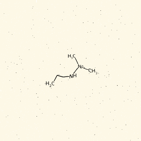 [CH2]CN[N+](C)C